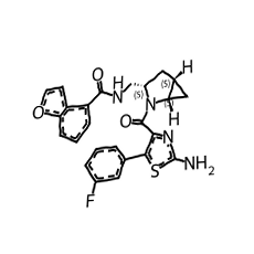 Nc1nc(C(=O)N2[C@H](CNC(=O)c3cccc4occc34)C[C@@H]3C[C@@H]32)c(-c2cccc(F)c2)s1